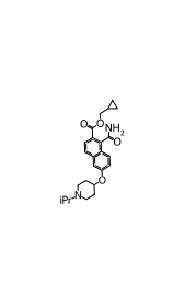 CC(C)N1CCC(Oc2ccc3c(C(N)=O)c(C(=O)OCC4CC4)ccc3c2)CC1